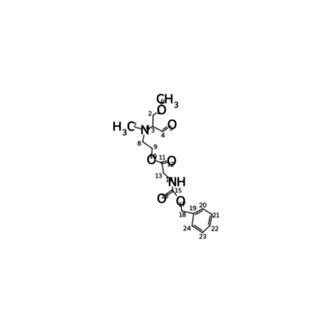 COCC(C=O)N(C)CCOC(=O)CNC(=O)OCc1ccccc1